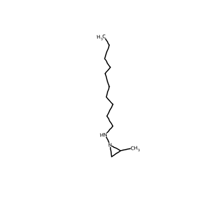 CCCCCCCCCCNN1CC1C